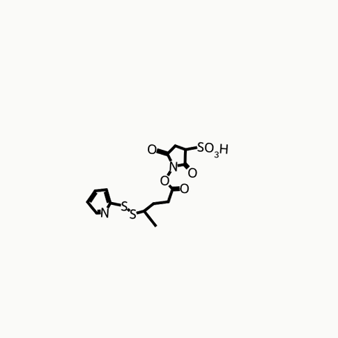 CC(CCC(=O)ON1C(=O)CC(S(=O)(=O)O)C1=O)SSc1ccccn1